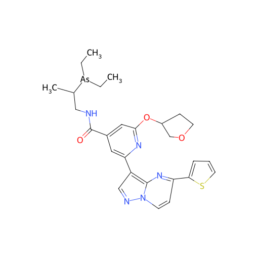 CC[As](CC)C(C)CNC(=O)c1cc(OC2CCOC2)nc(-c2cnn3ccc(-c4cccs4)nc23)c1